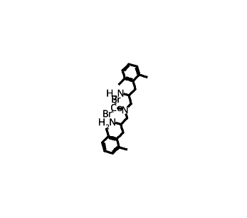 Cc1cccc(C)c1CC(N)C[N](CC(N)Cc1c(C)cccc1C)[Co]([Br])[Br]